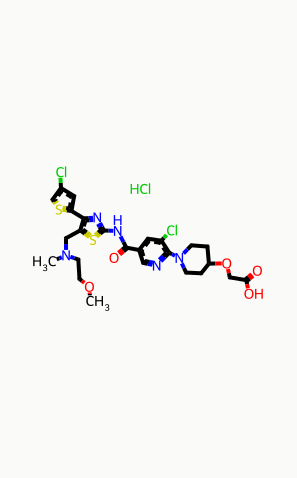 COCCN(C)Cc1sc(NC(=O)c2cnc(N3CCC(OCC(=O)O)CC3)c(Cl)c2)nc1-c1cc(Cl)cs1.Cl